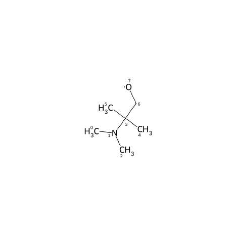 CN(C)C(C)(C)C[O]